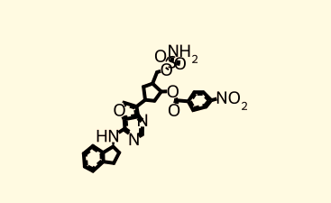 NS(=O)(=O)OCC1CC(c2coc3c(N[C@H]4CCc5ccccc54)ncnc23)CC1OC(=O)c1ccc([N+](=O)[O-])cc1